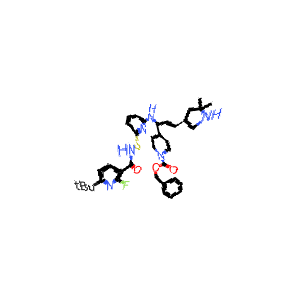 CC1(C)C[C@H](CCC(Nc2cccc(SNC(=O)c3ccc(C(C)(C)C)nc3F)n2)C2CCN(C(=O)OCc3ccccc3)CC2)CN1